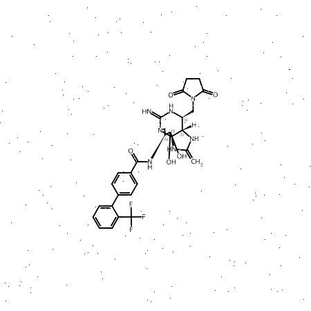 C=C1N[C@H]2[C@H](CN3C(=O)CCC3=O)NC(=N)N3C[C@H](NC(=O)c4ccc(-c5ccccc5C(F)(F)F)cc4)C(O)(O)[C@]23N1